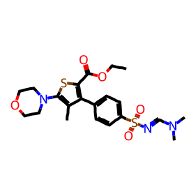 CCOC(=O)c1sc(N2CCOCC2)c(C)c1-c1ccc(S(=O)(=O)N=CN(C)C)cc1